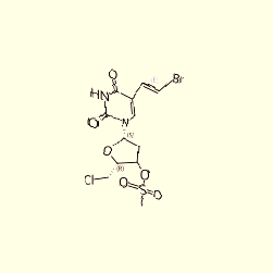 CS(=O)(=O)OC1C[C@@H](n2cc(/C=C/Br)c(=O)[nH]c2=O)O[C@H]1CCl